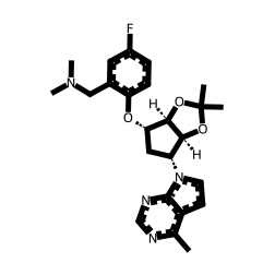 Cc1ncnc2c1ccn2[C@@H]1C[C@H](Oc2ccc(F)cc2CN(C)C)[C@H]2OC(C)(C)O[C@H]21